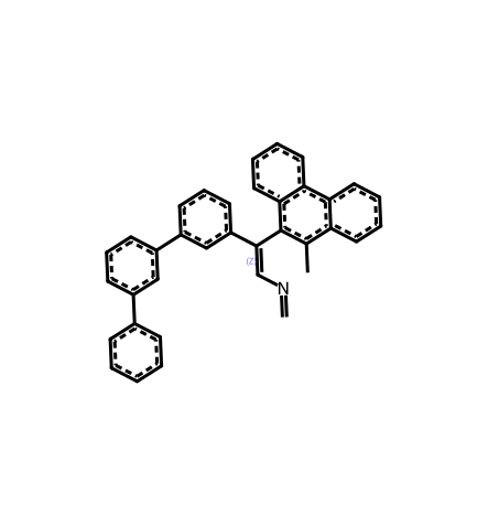 C=N/C=C(/c1cccc(-c2cccc(-c3ccccc3)c2)c1)c1c(C)c2ccccc2c2ccccc12